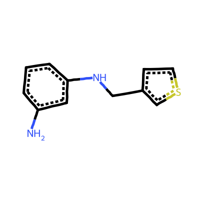 Nc1cccc(NCc2ccsc2)c1